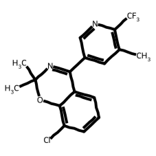 Cc1cc(C2=NC(C)(C)Oc3c(Cl)cccc32)cnc1C(F)(F)F